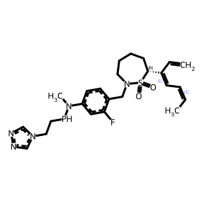 C=C/C(=C\C=C/C)[C@H]1CCCCN(Cc2ccc(N(C)PCCn3cnnc3)cc2F)S1(=O)=O